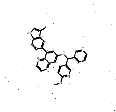 COc1ccc(C(Nc2cc(-c3ccc4scc(C)c4c3)c3nccnc3c2)c2cccnc2)cn1